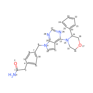 NC(=O)Cc1ccc(Cn2ccc3c(N4CCOCC4c4ccccc4)ncnc32)cc1